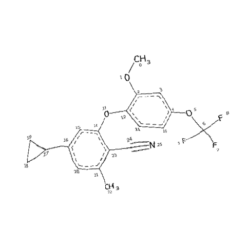 COc1cc(OC(F)(F)F)ccc1Oc1cc(C2CC2)cc(C)c1C#N